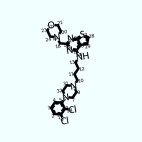 Clc1cccc(N2CCN(CCCCNc3nc(CN4CCOCC4)nc4sccc34)CC2)c1Cl